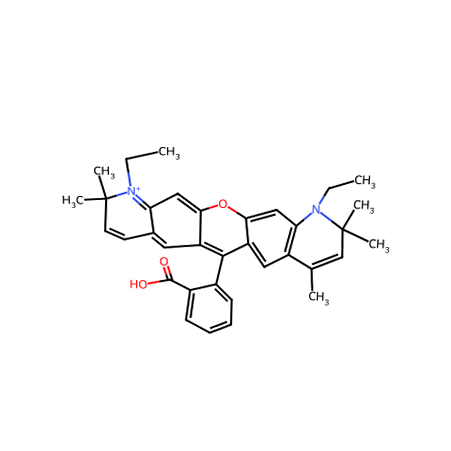 CCN1c2cc3c(cc2C(C)=CC1(C)C)C(c1ccccc1C(=O)O)=c1cc2c(cc1O3)=[N+](CC)C(C)(C)C=C2